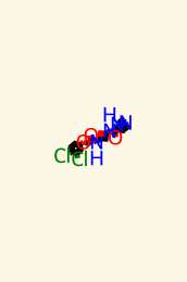 O=C(COc1ccc(Cl)c(Cl)c1)NC12CC(NC(=O)c3ccncn3)(C1)C2